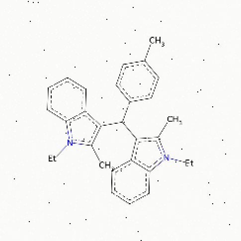 CCn1c(C)c(C(c2ccc(C)cc2)c2c(C)n(CC)c3ccccc23)c2ccccc21